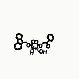 O=C(N[C@@H](CO)C(=O)OCC(=O)c1ccccc1)OCC1c2ccccc2-c2ccccc21